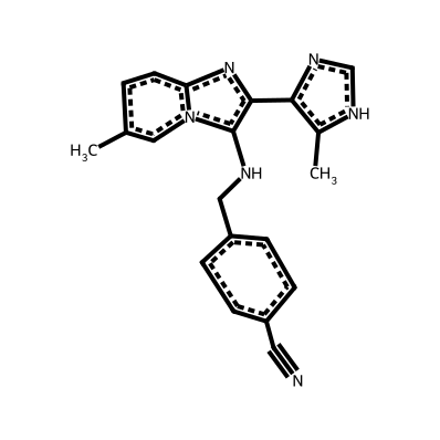 Cc1ccc2nc(-c3nc[nH]c3C)c(NCc3ccc(C#N)cc3)n2c1